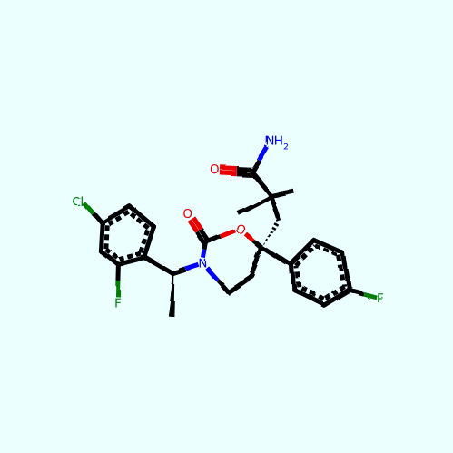 C[C@@H](c1ccc(Cl)cc1F)N1CC[C@](CC(C)(C)C(N)=O)(c2ccc(F)cc2)OC1=O